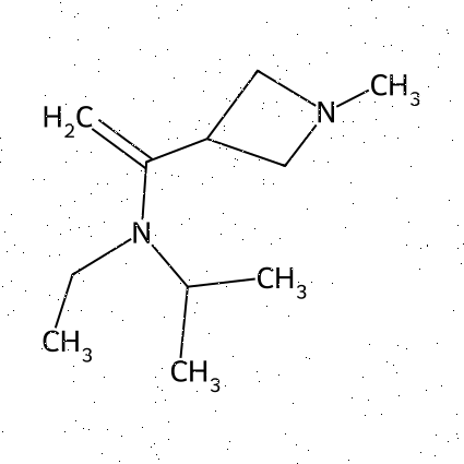 C=C(C1CN(C)C1)N(CC)C(C)C